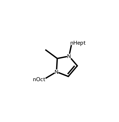 CCCCCCCCN1C=CN(CCCCCCC)C1C